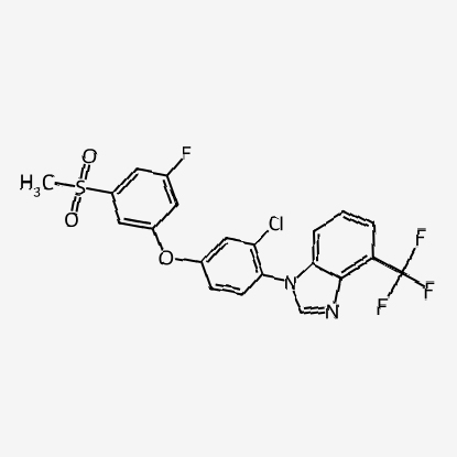 CS(=O)(=O)c1cc(F)cc(Oc2ccc(-n3cnc4c(C(F)(F)F)cccc43)c(Cl)c2)c1